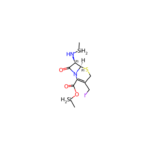 C[SiH2]N[C@@H]1C(=O)N2C(C(=O)O[SiH2]C)=C(CI)CS[C@H]12